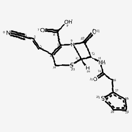 N#CC=CC1=C(C(=O)O)N2C(=O)[C@@H](NC(=O)Cc3cccs3)[C@@H]2SC1